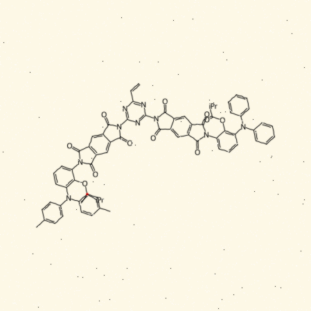 C=Cc1nc(-n2c(=O)c3cc4c(=O)n(-c5cccc(N(c6ccccc6)c6ccccc6)c5OC(=O)C(C)C)c(=O)c4cc3c2=O)nc(-n2c(=O)c3cc4c(=O)n(-c5cccc(N(c6ccc(C)cc6)c6ccc(C)cc6)c5OC(C)C(C)C)c(=O)c4cc3c2=O)n1